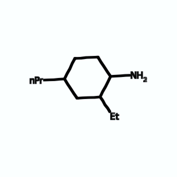 CCCC1CCC(N)C(CC)C1